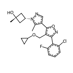 Cc1c(-c2onc(-c3c(F)cccc3Cl)c2COC2CC2)cnn1[C@H]1C[C@@](C)(O)C1